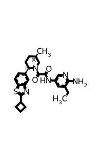 CCc1cc(NC(=O)C(=O)N2C[C@H](C)CC[C@@H]2c2ccc3sc(C4CCC4)nc3c2)cnc1N